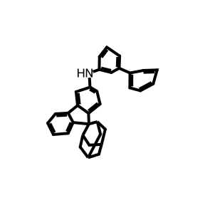 c1ccc(-c2cccc(Nc3ccc4c(c3)-c3ccccc3C43C4CC5CC(C4)CC3C5)c2)cc1